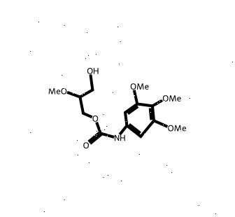 COc1cc(NC(=O)OCC(CO)OC)cc(OC)c1OC